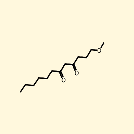 CCCCCCC(=O)CC(=O)CCCOC